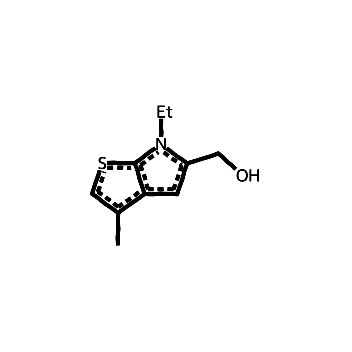 CCn1c(CO)cc2c(C)csc21